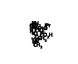 Cc1ncc(-c2ccc3c(Nc4cc(OC(C)C)cc(C(=O)O)c4)c(S(N)(=O)=O)cnc3c2)c(C)n1